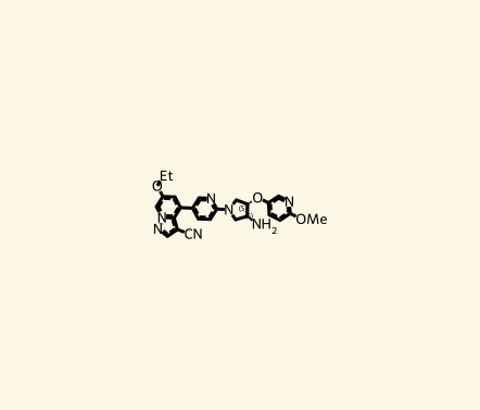 CCOc1cc(-c2ccc(N3C[C@H](Oc4ccc(OC)nc4)[C@@H](N)C3)nc2)c2c(C#N)cnn2c1